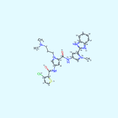 CN(C)CCCn1cc(NC(=O)c2sccc2Cl)cc1C(=O)Nc1cc(-c2nc3ccccc3[nH]2)n(C)c1